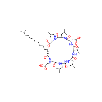 CC(C)CCCCCCCCC[C@@H]1CC(=O)N[C@@H](CCC(=O)O)C(=O)N[C@@H](CC(C)C)C(=O)N[C@H](CC(C)C)C(=O)NC(C(C)C)C(=O)N[C@@H](CC(=O)O)C(=O)N[C@H](CC(C)C)C(=O)N[C@@H](CC(C)C)C(=O)O1